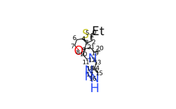 CCc1cc2c(s1)CCOC21CCN(Cc2c[nH]nn2)C(C)C1